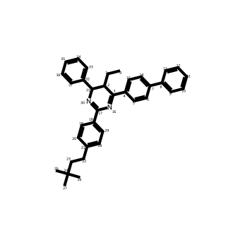 CCC1C(c2ccc(-c3ccccc3)cc2)=NC(c2ccc(CCC(C)(C)C)cc2)=NC1c1ccccc1